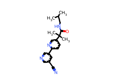 CC(C)CNC(=O)C(C)(C)c1ccc(-c2cncc(C#N)c2)nc1